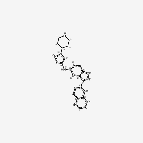 c1cnc2ccc(-n3nnc4cnc(Nc5cnn(C6CCOCC6)c5)nc43)cc2c1